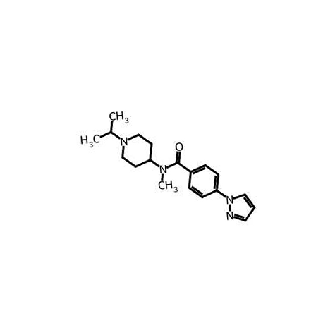 CC(C)N1CCC(N(C)C(=O)c2ccc(-n3cccn3)cc2)CC1